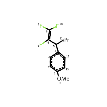 COc1ccc(C(C(F)=C(F)F)C(C)C)cc1